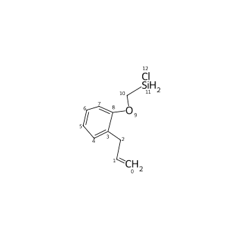 C=CCc1ccccc1OC[SiH2]Cl